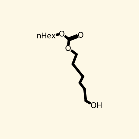 CCCCCCOC(=O)OCCCCCCO